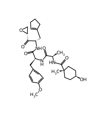 COc1ccc(C[C@H](NC(=O)[C@@H](C)NC(=O)[C@]2(C)CC[C@@H](O)CC2)C(=O)N[C@@H](CC2=CCCC2)C(=O)[C@H]2CO2)cc1